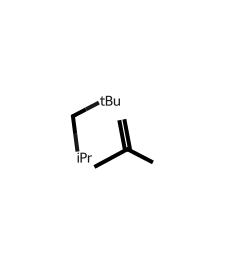 C=C(C)C.CC(C)CC(C)(C)C